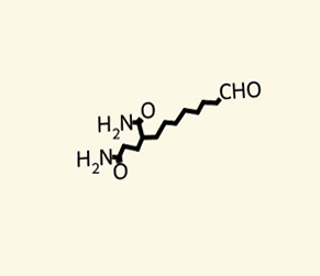 NC(=O)CCC(CCCCCCCC=O)C(N)=O